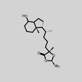 C[C@H](CCC[C@]1(C)O[C@@H](C(C)(C)C)OC1=O)[C@H]1CCC2C(O)CCC[C@]21C